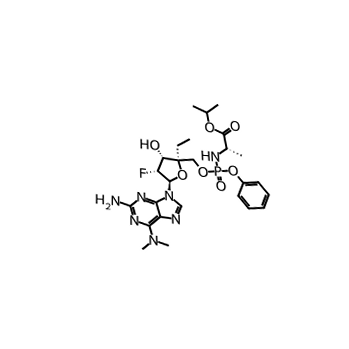 CC[C@]1(COP(=O)(N[C@@H](C)C(=O)OC(C)C)Oc2ccccc2)O[C@@H](n2cnc3c(N(C)C)nc(N)nc32)[C@H](F)[C@@H]1O